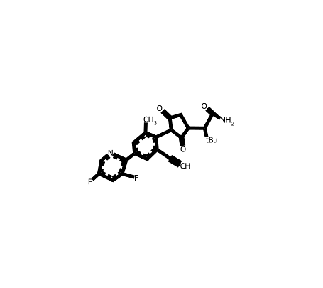 C#Cc1cc(-c2ncc(F)cc2F)cc(C)c1C1C(=O)CC(C(C(N)=O)C(C)(C)C)C1=O